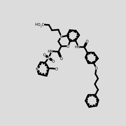 O=C(O)CCCN1CC(C(=O)NS(=O)(=O)c2cnccc2Cl)Oc2c(NC(=O)c3ccc(OCCCCc4ccccc4)cc3)cccc21